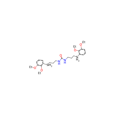 CCOc1cccc([SiH2]CCCNC(=O)NCCC[SiH2]c2cccc(OCC)c2OCC)c1OCC